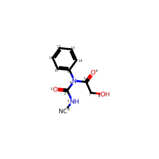 N#CNC(=O)N(C(=O)CO)c1ccccc1